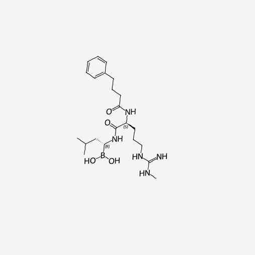 CNC(=N)NCCC[C@H](NC(=O)CCCc1ccccc1)C(=O)N[C@@H](CC(C)C)B(O)O